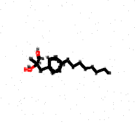 CCCCCCCCc1ccc(CC(C)(O)C=O)cc1